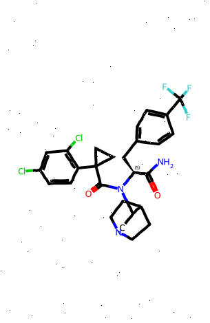 NC(=O)[C@H](Cc1ccc(C(F)(F)F)cc1)N(C(=O)C1(c2ccc(Cl)cc2Cl)CC1)C1CN2CCC1CC2